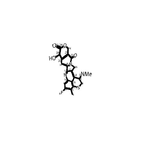 CNC1CSc2c(C)c(F)cc3nc4c(c1c23)Cn1c-4cc2c(c1=O)COC(=O)C2O